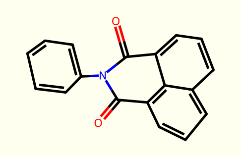 O=C1c2cccc3cccc(c23)C(=O)N1c1ccccc1